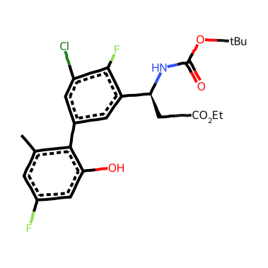 CCOC(=O)C[C@H](NC(=O)OC(C)(C)C)c1cc(-c2c(C)cc(F)cc2O)cc(Cl)c1F